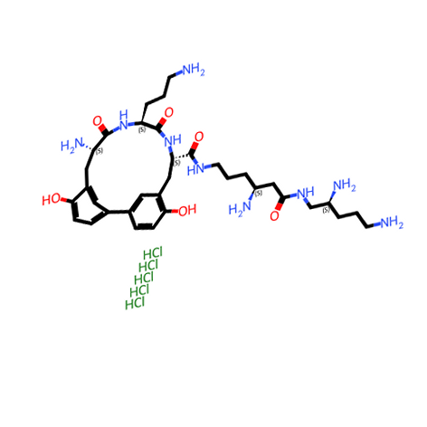 Cl.Cl.Cl.Cl.Cl.NCCC[C@H](N)CNC(=O)C[C@@H](N)CCCNC(=O)[C@@H]1Cc2cc(ccc2O)-c2ccc(O)c(c2)C[C@H](N)C(=O)N[C@@H](CCCN)C(=O)N1